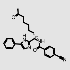 CC(=O)CCCCC[C@H](NC(=O)c1ccc(C#N)cc1)c1ncc(-c2ccccc2)[nH]1